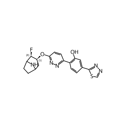 Oc1cc(-c2nncs2)ccc1-c1ccc(O[C@H]2CC3CCC(N3)[C@H]2F)nn1